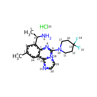 Cc1cc([C@@H](C)N)c2nc(N3CCC(F)(F)CC3)n3ccnc3c2c1.Cl